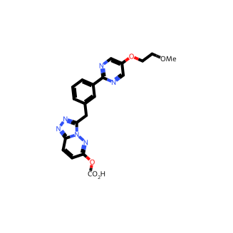 COCCOc1cnc(-c2cccc(Cc3nnc4ccc(OC(=O)O)nn34)c2)nc1